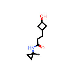 CCC1(NC(=O)CCC2CC(O)C2)CC1